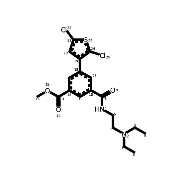 CCN(CC)CCNC(=O)c1cc(C(=O)OC)cc(-c2cc(Cl)sc2Cl)c1